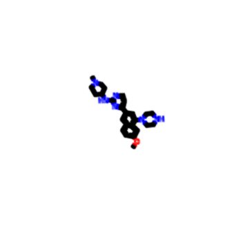 COc1ccc2cc(-c3ccnc(NC4CCN(C)CC4)n3)cc(N3CCNCC3)c2c1